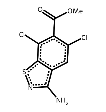 COC(=O)c1c(Cl)cc2c(N)nsc2c1Cl